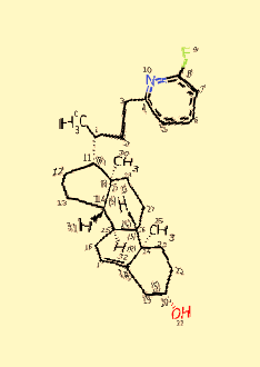 CC(CCc1cccc(F)n1)[C@H]1CC[C@H]2[C@@H]3CC=C4C[C@@H](O)CC[C@]4(C)[C@H]3CC[C@]12C